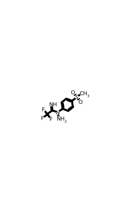 CS(=O)(=O)c1ccc(N(N)C(=N)C(F)(F)F)cc1